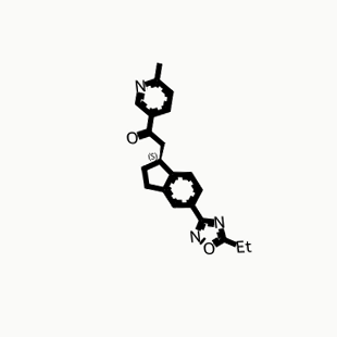 CCc1nc(-c2ccc3c(c2)CC[C@H]3CC(=O)c2ccc(C)nc2)no1